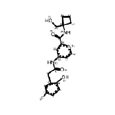 O=C(Cc1cc(F)ccc1O)Nc1ccnc(C(=O)NC2(CO)CCC2)c1